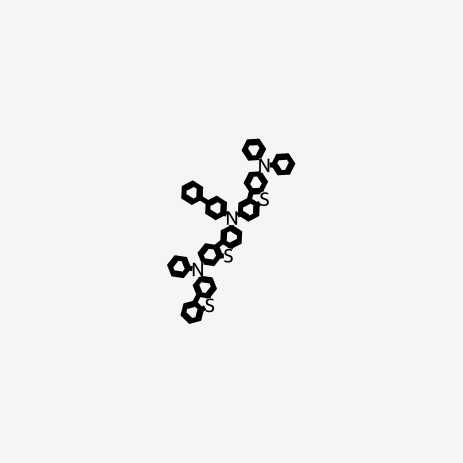 c1ccc(-c2ccc(N(c3ccc4sc5cc(N(c6ccccc6)c6ccccc6)ccc5c4c3)c3ccc4sc5cc(N(c6ccccc6)c6ccc7sc8ccccc8c7c6)ccc5c4c3)cc2)cc1